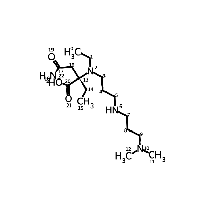 CCN(CCCNCCCN(C)C)[C@@](CC)(CC(N)=O)C(=O)O